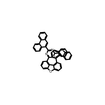 c1ccc(C2N=C(c3cc4ccccc4c4ccccc34)N=C(c3cccc4oc5cccc(-c6cccc7oc8ccccc8c67)c5c34)N2)cc1